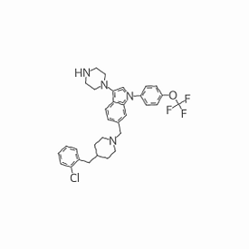 FC(F)(F)Oc1ccc(-n2cc(N3CCNCC3)c3ccc(CN4CCC(Cc5ccccc5Cl)CC4)cc32)cc1